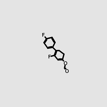 O=COC1=CC(F)=C(c2ccc(F)cc2)CC1